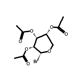 CC(=O)O[C@@H]1[C@H](OC(C)=O)[C@H](OC(C)=O)CO[C@@H]1Br